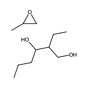 CC1CO1.CCCC(O)C(CC)CO